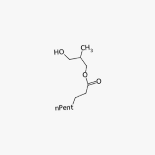 CCCCCCCC(=O)OCC(C)CO